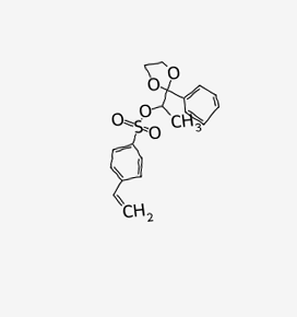 C=Cc1ccc(S(=O)(=O)OC(C)C2(c3ccccc3)OCCO2)cc1